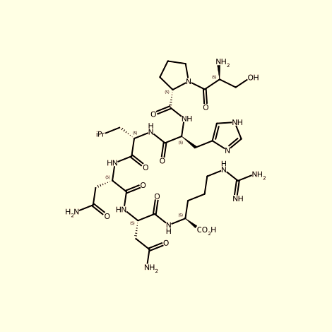 CC(C)C[C@H](NC(=O)[C@H](Cc1c[nH]cn1)NC(=O)[C@@H]1CCCN1C(=O)[C@@H](N)CO)C(=O)N[C@@H](CC(N)=O)C(=O)N[C@@H](CC(N)=O)C(=O)N[C@@H](CCCNC(=N)N)C(=O)O